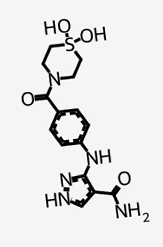 NC(=O)c1c[nH]nc1Nc1ccc(C(=O)N2CCS(O)(O)CC2)cc1